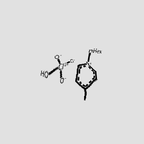 CCCCCC[n+]1ccc(C)cc1.[O-][Cl+3]([O-])([O-])O